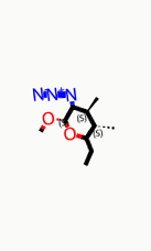 CCC1O[C@H](OC)C(N=[N+]=[N-])[C@@H](C)[C@@H]1C